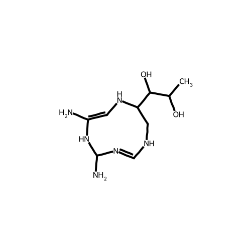 CC(O)C(O)C1CN/C=N/C(N)N/C(N)=C/N1